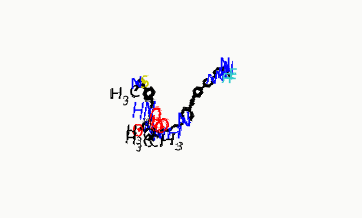 Cc1ncsc1-c1ccc(CNC(=O)[C@@H]2CC(=O)CN2C(=O)[C@@H](NC(=O)CCCN2CCC(C#Cc3ccc(C4CCN(C5=Nn6c(nnc6C(F)(F)F)CC5)CC4)cc3)CC2)C(C)(C)C)cc1